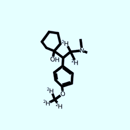 [2H]C([2H])([2H])Oc1ccc(C(C2(O)CCCCC2)C([2H])([2H])N(C)C)cc1